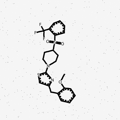 COc1ccccc1Cc1csc(N2CCC(S(=O)(=O)c3ccccc3C(F)(F)F)CC2)n1